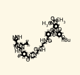 CCCCOc1cccc(Oc2cc3c(cc2NS(=O)(=O)c2cccc(C(=O)NCCCCNC(=O)CN4CCN(C(=O)c5ccc(Nc6nc(C7CC7)cn7c(-c8cn[nH]c8)cnc67)c(F)c5)CC4)c2)n(C)c(=O)n3C)c1